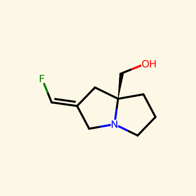 OC[C@@]12CCCN1C/C(=C/F)C2